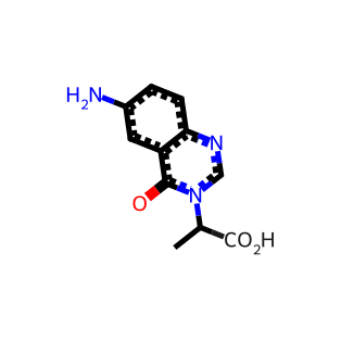 CC(C(=O)O)n1cnc2ccc(N)cc2c1=O